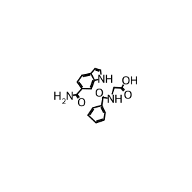 NC(=O)c1ccc2cc[nH]c2c1.O=C(O)CNC(=O)c1ccccc1